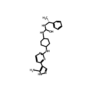 C[C@@H](NC(O)NC1CCC(Nc2nccc(-c3cn[nH]c3N)n2)CC1)c1ccccc1